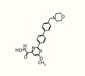 COc1cc(C(=O)NO)nc(-c2ccc(-c3ccc(CN4CCOCC4)cc3)cc2)n1